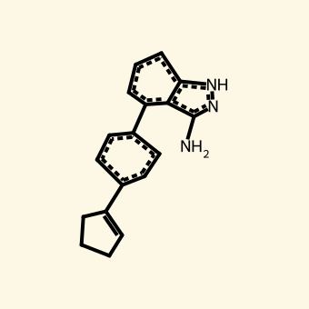 Nc1n[nH]c2cccc(-c3ccc(C4=CCCC4)cc3)c12